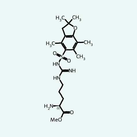 COC(=O)[C@@H](N)CCCNC(=N)NS(=O)(=O)c1c(C)c(C)c2c(c1C)CC(C)(C)O2